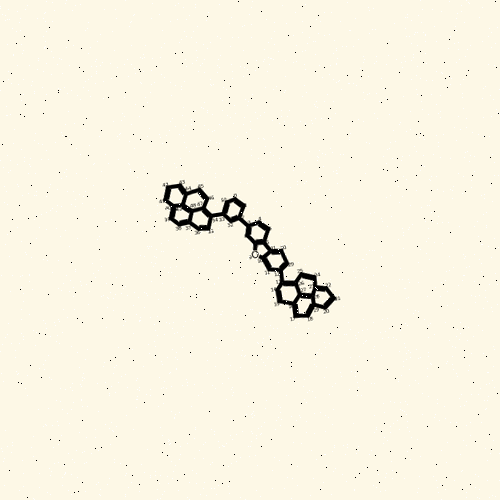 c1cc(-c2ccc3c(c2)oc2cc(-c4ccc5ccc6cccc7ccc4c5c67)ccc23)cc(-c2ccc3ccc4cccc5ccc2c3c45)c1